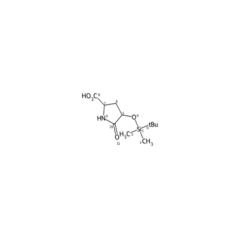 CC(C)(C)[Si](C)(C)OC1CC(C(=O)O)NC1=O